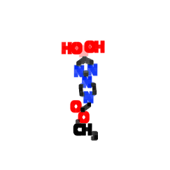 CCOC(=O)CN1CCN(c2ncc(B(O)O)cn2)CC1